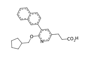 O=C(O)CCc1cnc(OCC2CCCC2)c(-c2ccc3ccccc3c2)c1